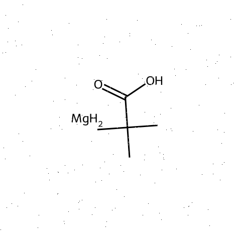 CC(C)(C)C(=O)O.[MgH2]